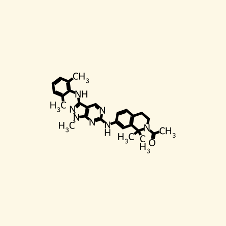 CC(=O)N1CCc2ccc(Nc3ncc4c(Nc5c(C)cccc5C)nn(C)c4n3)cc2C1(C)C